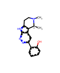 C[C@H]1c2c([nH]c3nnc(-c4ccccc4O)cc23)CCN1C